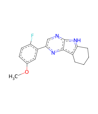 COc1ccc(F)c(-c2cnc3[nH]c4c(c3n2)CCCC4)c1